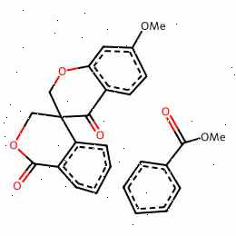 COC(=O)c1ccccc1.COc1ccc2c(c1)OCC1(COC(=O)c3ccccc31)C2=O